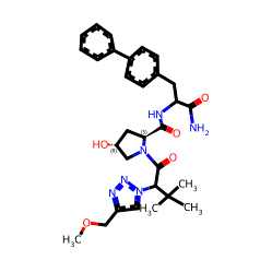 COCc1cn(C(C(=O)N2C[C@H](O)C[C@H]2C(=O)NC(Cc2ccc(-c3ccccc3)cc2)C(N)=O)C(C)(C)C)nn1